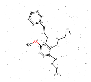 CCCCc1ccc(OC)c(CC=Cc2ccccc2)c1CCCC